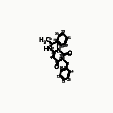 CC(Nc1cc(=O)n(Cc2ccccc2)c(=O)[nH]1)c1ccccc1